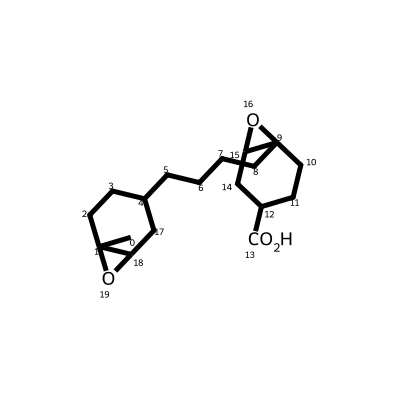 CC12CCC(CCCCC34CCC(C(=O)O)CC3O4)CC1O2